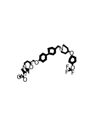 O=[N+]([O-])c1cn2c(n1)O[C@H](COc1ccc(-c3ccc(CN4CCC(Oc5ccc(OC(F)(F)F)cc5)CC4)cc3)cc1)CC2